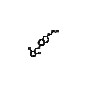 CCOC(=O)COC1CCc2cc(OCc3c(Cl)cccc3CC)ccc2C1